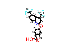 OB1OCc2cc(Oc3cc(C(F)(F)F)c4cc(C(F)(F)F)ccc4n3)ccc21